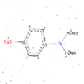 CCCCCCCCCCN(CCCCCCCCCC)c1ccc(O)cc1